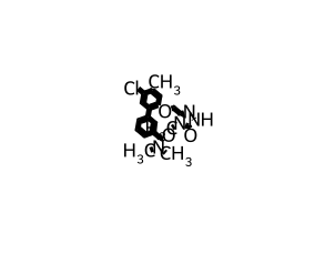 Cc1cc(OCc2n[nH]c(=O)n2C)c(-c2cccc(C(=O)N(C)C)c2)cc1Cl